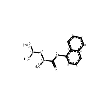 CCOC(=O)N(C)SN(C)C(=O)Oc1cccc2ccccc12